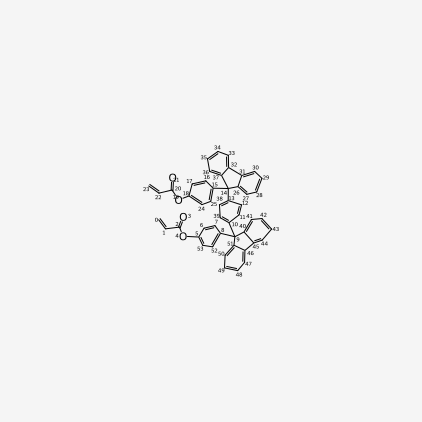 C=CC(=O)Oc1ccc(C2(c3ccc(C4(c5ccc(OC(=O)C=C)cc5)c5ccccc5-c5ccccc54)cc3)c3ccccc3-c3ccccc32)cc1